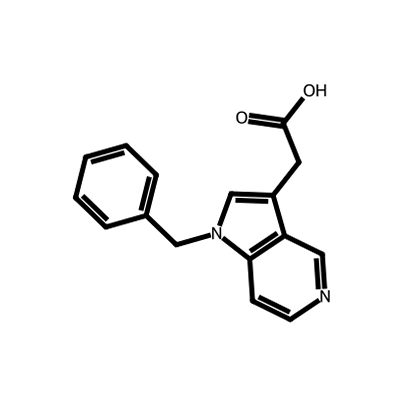 O=C(O)Cc1cn(Cc2ccccc2)c2ccncc12